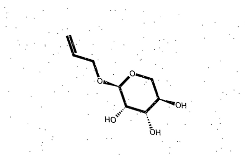 C=CCO[C@H]1OC[C@@H](O)[C@H](O)[C@@H]1O